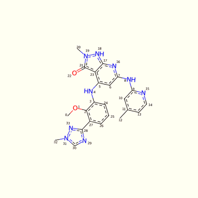 COc1c(Nc2cc(Nc3cc(C)ccn3)nc3[nH]n(C)c(=O)c23)cccc1-c1ncn(C)n1